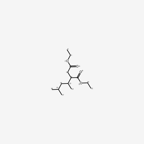 CCOC(=O)CC(C(=O)OCC)C(C)CC(C)C